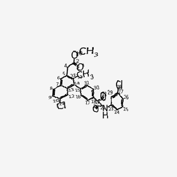 COC(=O)Cc1cc2ccc(Cl)cc2c(-c2ccc(S(=O)(=O)Nc3cccc(Cl)c3)cc2)c1C